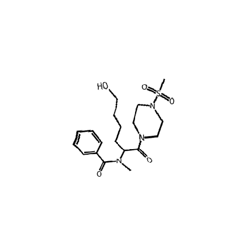 CN(C(=O)c1ccccc1)C(CCCCO)C(=O)N1CCN(S(C)(=O)=O)CC1